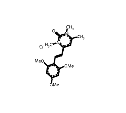 COc1cc(OC)c(/C=C/c2cc(C)[n+](C)c(=O)n2C)c(OC)c1.[Cl-]